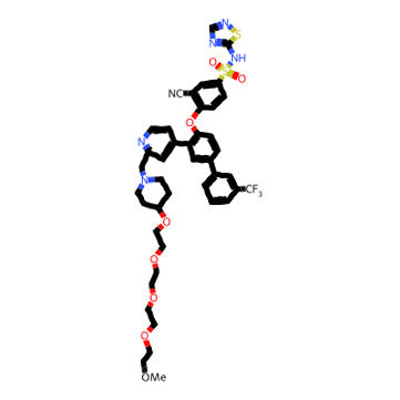 COCCOCCOCCOCCOC1CCN(Cc2cc(-c3cc(-c4cccc(C(F)(F)F)c4)ccc3Oc3ccc(S(=O)(=O)Nc4ncns4)cc3C#N)ccn2)CC1